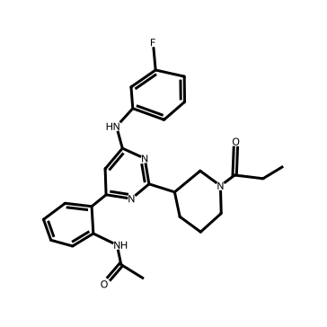 CCC(=O)N1CCCC(c2nc(Nc3cccc(F)c3)cc(-c3ccccc3NC(C)=O)n2)C1